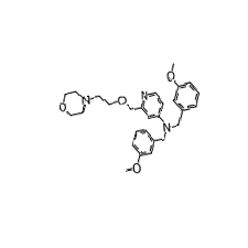 COc1cccc(CN(Cc2cccc(OC)c2)c2ccnc(COCCN3CCOCC3)c2)c1